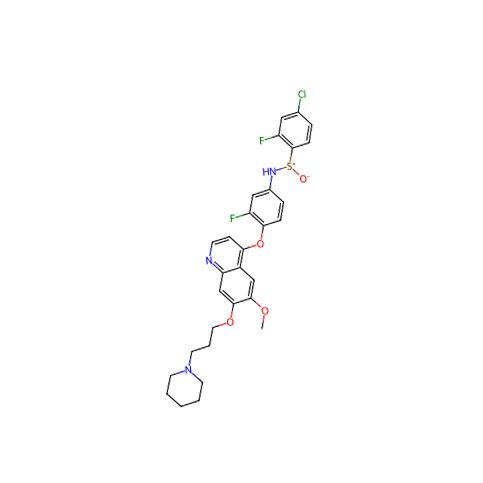 COc1cc2c(Oc3ccc(N[S+]([O-])c4ccc(Cl)cc4F)cc3F)ccnc2cc1OCCCN1CCCCC1